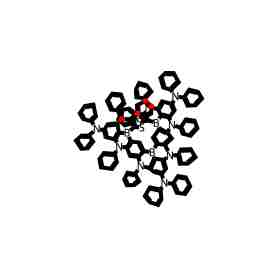 c1ccc(N(c2ccccc2)c2cc3c4c(c2)N(c2ccccc2)c2cc5c(cc2B4c2cc4c(cc2N3c2ccccc2)N(c2ccccc2)c2cc(N(c3ccccc3)c3ccccc3)cc3c2B4c2sc4ccccc4c2N3c2ccccc2)B2c3sc4ccccc4c3N(c3ccccc3)c3cc(N(c4ccccc4)c4ccccc4)cc(c32)N5c2ccccc2)cc1